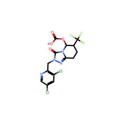 O=C(O)OC1C(C(F)(F)F)CCc2nn(Cc3ncc(Cl)cc3Cl)c(=O)n21